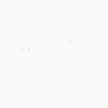 Cc1ncc(CN)s1